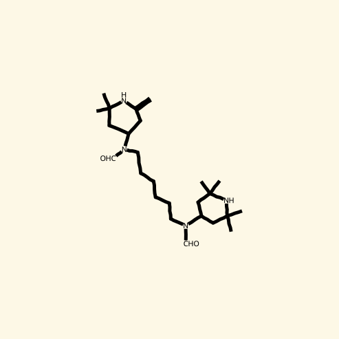 C=C1CC(N(C=O)CCCCCCN(C=O)C2CC(C)(C)NC(C)(C)C2)CC(C)(C)N1